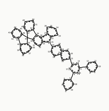 c1ccc(-c2nc(-c3ccccc3)nc(-c3ccc4cc(-n5c6ccccc6c6c7c(ccc65)C5(c6ccccc6-c6ccccc65)c5ccccc5-7)ccc4c3)n2)cc1